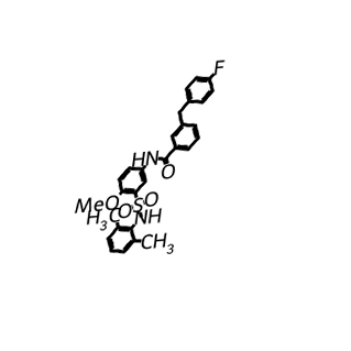 COc1ccc(NC(=O)c2cccc(Cc3ccc(F)cc3)c2)cc1S(=O)(=O)Nc1c(C)cccc1C